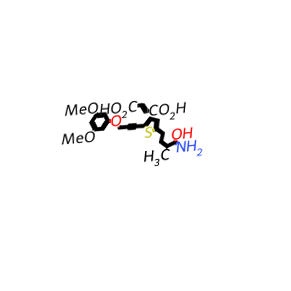 COc1cc(OC)cc(OCC#Cc2ccc(CC[C@@H](C)C(N)O)s2)c1.O=C(O)C=CC(=O)O